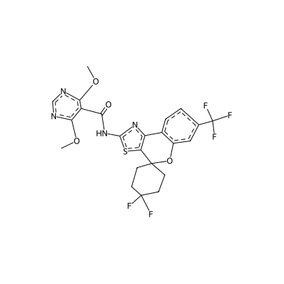 COc1ncnc(OC)c1C(=O)Nc1nc2c(s1)C1(CCC(F)(F)CC1)Oc1cc(C(F)(F)F)ccc1-2